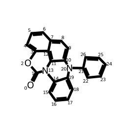 O=c1oc2cccc3ccc4c(c32)-n1c1ccccc1n4-c1ccccc1